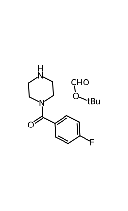 CC(C)(C)OC=O.O=C(c1ccc(F)cc1)N1CCNCC1